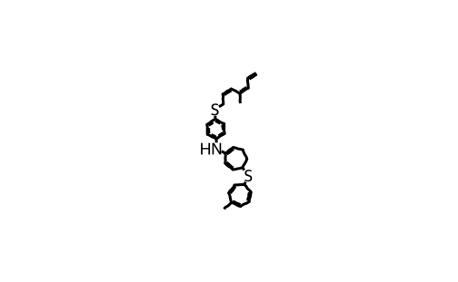 C=C/C=C(C)\C=C/CSc1ccc(NC2=CCCC(SC3C=CC=C(C)C=C3)C=C2)cc1